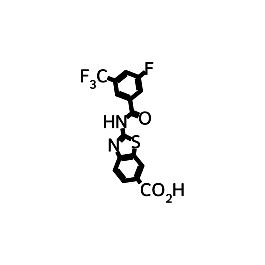 O=C(O)c1ccc2nc(NC(=O)c3cc(F)cc(C(F)(F)F)c3)sc2c1